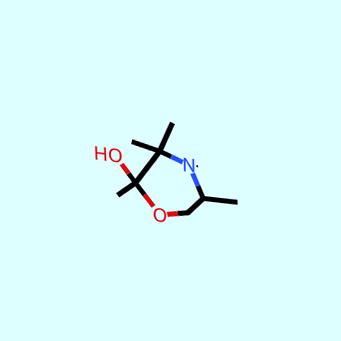 CC1COC(C)(O)C(C)(C)[N]1